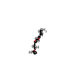 COC(=O)C1CC(c2ccc(C(=O)C(=O)c3ccc(C=CC(=O)NCCc4c[nH]c5ccccc45)cc3)cc2)=NO1